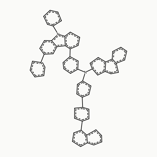 c1ccc(-c2ccc3c(c2)c2c(-c4cccc(N(c5ccc(-c6ccc(-c7cccc8ccccc78)cc6)cc5)c5ccc6c(ccc7ccccc76)c5)c4)cccc2n3-c2ccccc2)cc1